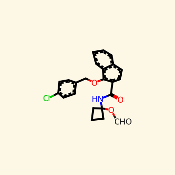 O=COC1(NC(=O)c2ccc3ccccc3c2OCc2ccc(Cl)cc2)CCC1